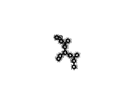 c1ccc(-c2ccc(N(c3ccccc3)c3ccc(-c4cc(-c5ccc(N(c6ccccc6)c6ccc7c(c6)oc6ccccc67)cc5)cc(-c5ccc6ccccc6c5)c4)cc3)cc2)cc1